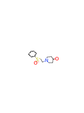 O=C1CCN(CC[S+]([O-])c2ccccc2)CC1